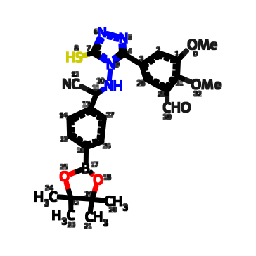 COc1cc(-c2nnc(S)n2NC(C#N)c2ccc(B3OC(C)(C)C(C)(C)O3)cc2)cc(C=O)c1OC